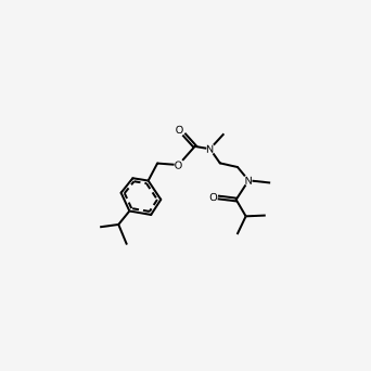 CC(C)C(=O)N(C)CCN(C)C(=O)OCc1ccc(C(C)C)cc1